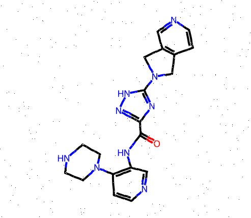 O=C(Nc1cnccc1N1CCNCC1)c1n[nH]c(N2Cc3ccncc3C2)n1